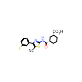 N#Cc1sc(NC(=O)[C@H]2CCC[C@@H](C(=O)O)C2)nc1-c1cccc(F)c1